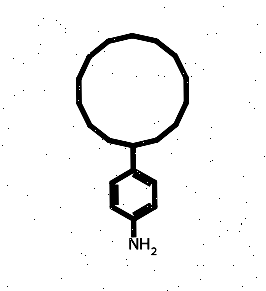 Nc1ccc(C2CCCCCCCCCCCCC2)cc1